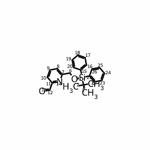 CC(C)(C)[Si](OCc1cccc(C=O)n1)(c1ccccc1)c1ccccc1